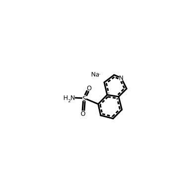 NS(=O)(=O)c1cccc2cnccc12.[Na]